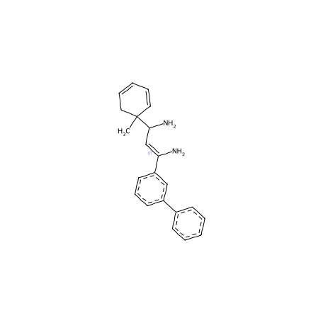 CC1(C(N)/C=C(\N)c2cccc(-c3ccccc3)c2)C=CC=CC1